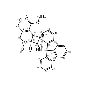 BOC(=O)C1=C(CCl)C[S+]([O-])[C@@H]2[C@H](NC(c3ccccc3)(c3ccccc3)c3ccccc3)C(=O)N12